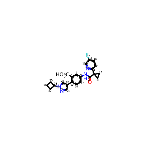 O=C(O)c1cc(NC(=O)C2(c3ccc(F)cn3)CC2)ccc1-c1cnn(C2CCC2)c1